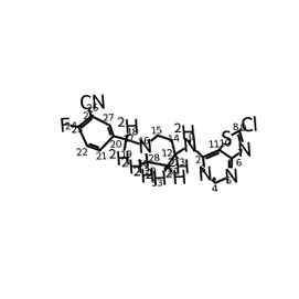 [2H]N(c1ncnc2nc(Cl)sc12)C1([2H])CCN(C([2H])([2H])c2ccc(F)c(C#N)c2)C([2H])([2H])C1([2H])[2H]